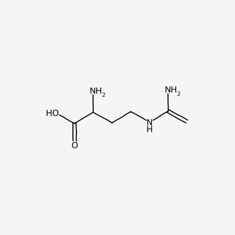 C=C(N)NCCC(N)C(=O)O